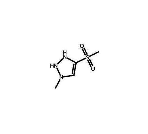 CN1C=C(S(C)(=O)=O)NN1